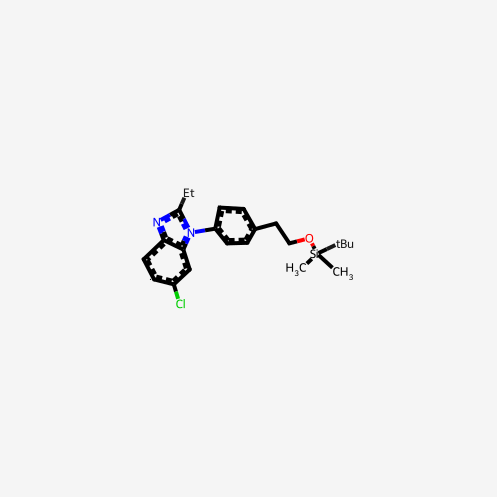 CCc1nc2c[c]c(Cl)cc2n1-c1ccc(CCO[Si](C)(C)C(C)(C)C)cc1